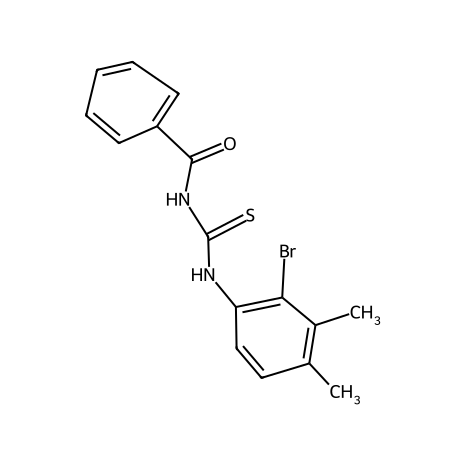 Cc1ccc(NC(=S)NC(=O)c2ccccc2)c(Br)c1C